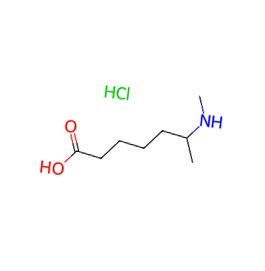 CNC(C)CCCCC(=O)O.Cl